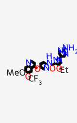 CCOc1cn(-c2cnc(N)nc2)nc1C(=O)Nc1ccc(Oc2ccnc3cc(OC)c(OC(F)(F)F)cc23)cn1